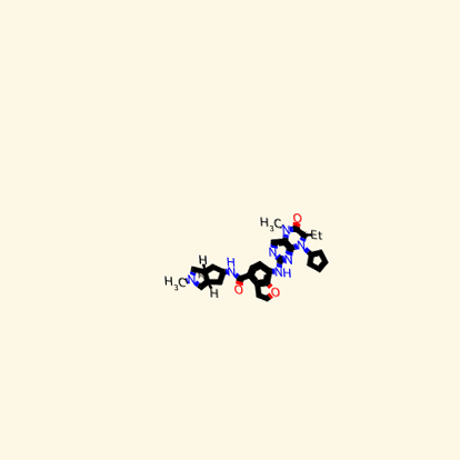 CC[C@@H]1C(=O)N(C)c2cnc(Nc3ccc(C(=O)NC4C[C@@H]5CN(C)C[C@@H]5C4)c4c3OCC4)nc2N1C1CCCC1